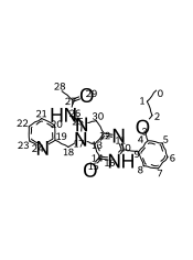 CCCOc1ccccc1-c1nc2c(c(=O)[nH]1)N(Cc1ccccn1)N(NC(C)=O)C2